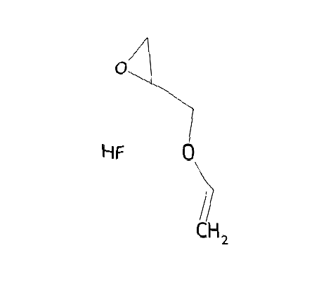 C=COCC1CO1.F